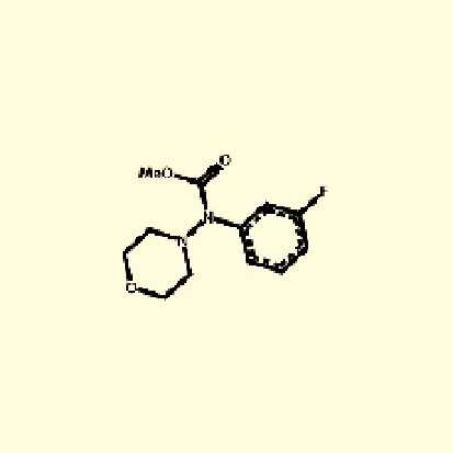 COC(=O)N(c1cccc(F)c1)N1CCOCC1